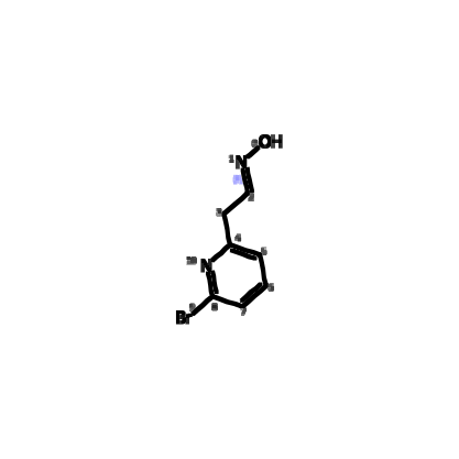 O/N=C/Cc1cccc(Br)n1